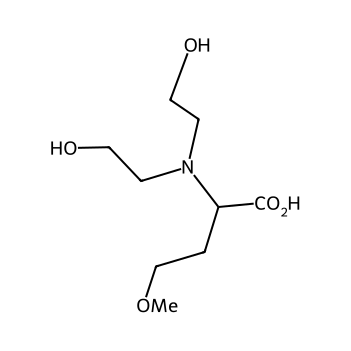 COCCC(C(=O)O)N(CCO)CCO